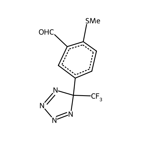 CSc1ccc(C2(C(F)(F)F)N=NN=N2)cc1C=O